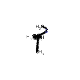 CCCCC/C=C\C/C=C\CCCCCCCC(=O)OC(CO[Si](C)(C)C(C)(C)C)C(O)C(=O)CCCCCCCCCCCCCCC